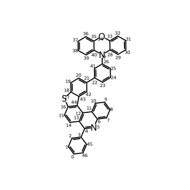 c1ccc(-c2nc3ccccc3c3c2ccc2sc4ccc(-c5cccc(N6c7ccccc7Oc7ccccc76)c5)cc4c23)cc1